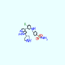 NS(=O)(=O)c1ccc(CNc2ccc(F)c(-c3ccnc4[nH]c(C5CCNCC5)cc34)c2)cc1